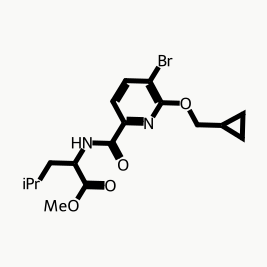 COC(=O)C(CC(C)C)NC(=O)c1ccc(Br)c(OCC2CC2)n1